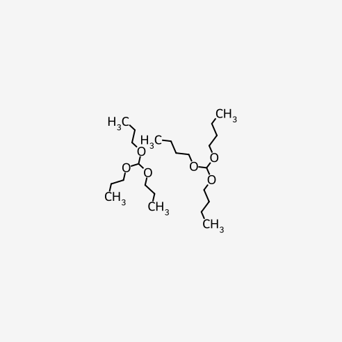 CCCCOC(OCCCC)OCCCC.CCCOC(OCCC)OCCC